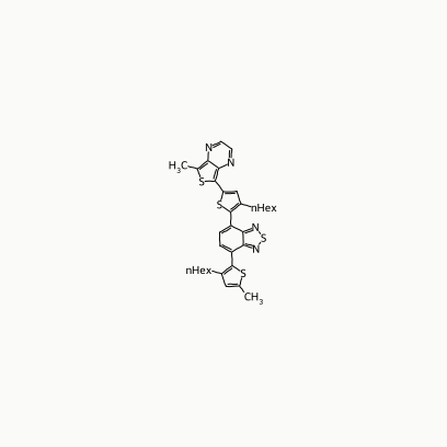 CCCCCCc1cc(C)sc1-c1ccc(-c2sc(-c3sc(C)c4nccnc34)cc2CCCCCC)c2nsnc12